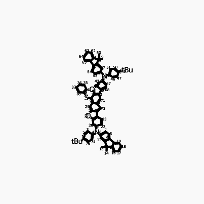 CC(C)(C)c1ccc(N(c2ccc3c(c2)C(C)(C)c2ccccc2-3)c2ccc3c(c2)oc2cc4c(Sc5ccccc5)c5oc6cc(N(c7ccc(C(C)(C)C)cc7)c7ccc8c(c7)C(C)(C)c7ccccc7-8)ccc6c5cc4cc23)cc1